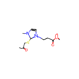 COC(=O)CCN1C=CN(C)C1SCC(C)=O